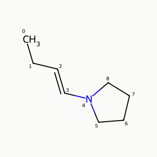 CCC=CN1CCCC1